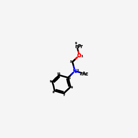 CCCOCN(C(C)=O)c1ccccc1